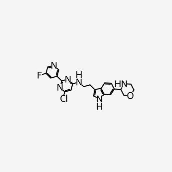 Fc1cncc(-c2nc(Cl)cc(NCCc3c[nH]c4cc(C5COCCN5)ccc34)n2)c1